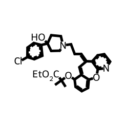 CCOC(=O)C(C)(C)OC1C=CC=C2Oc3ncccc3C(=CCCN3CCC(O)(c4ccc(Cl)cc4)CC3)C=C21